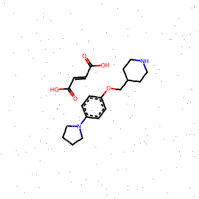 O=C(O)/C=C/C(=O)O.c1cc(N2CCCC2)ccc1OCC1CCNCC1